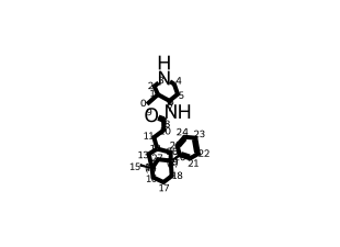 CC1CNCCC1NC(=O)CCC1C[C@@]2(C)CCC[C@@](c3ccccc3)(C1)C2